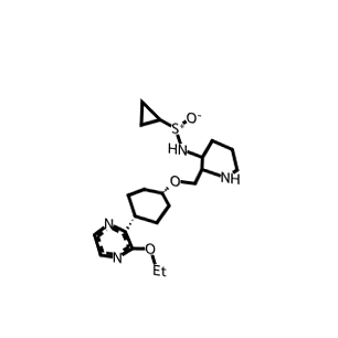 CCOc1nccnc1[C@H]1CC[C@@H](OCC2NCCCC2N[S+]([O-])C2CC2)CC1